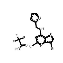 Clc1cc(NCc2ccco2)c2scc(Br)c2n1.O=C(O)C(F)(F)F